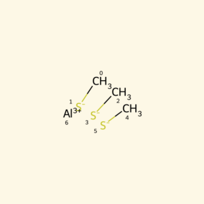 C[S-].C[S-].C[S-].[Al+3]